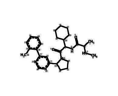 CNC(C)C(=O)NC(C(=O)N1CCCC1c1cc(-c2ccccc2C)ncn1)C1CCCCC1